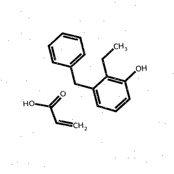 C=CC(=O)O.CCc1c(O)cccc1Cc1ccccc1